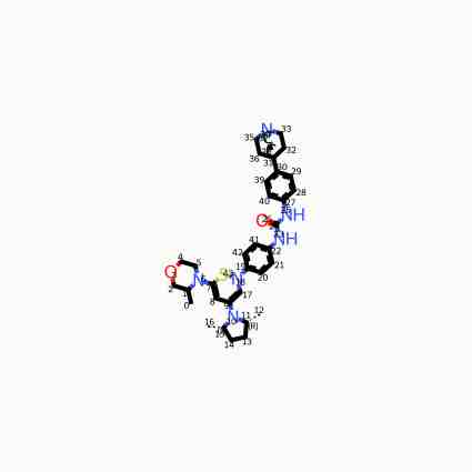 CC1COCCN1C1=CC(N2[C@H](C)CC[C@@H]2C)=CN(c2ccc(NC(=O)Nc3ccc(C45CCN(CC4)CC5)cc3)cc2)S1